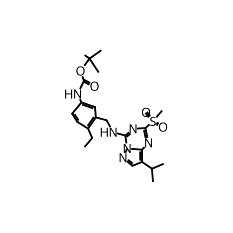 CCc1ccc(NC(=O)OC(C)(C)C)cc1CNc1nc(S(C)(=O)=O)nc2c(C(C)C)cnn12